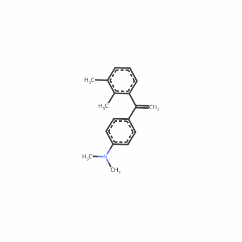 C=C(c1ccc(N(C)C)cc1)c1cccc(C)c1C